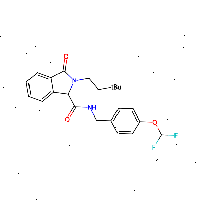 CC(C)(C)CCN1C(=O)c2ccccc2C1C(=O)NCc1ccc(OC(F)F)cc1